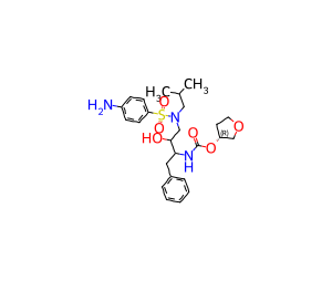 CC(C)CN(CC(O)C(Cc1ccccc1)NC(=O)O[C@@H]1CCOC1)S(=O)(=O)c1ccc(N)cc1